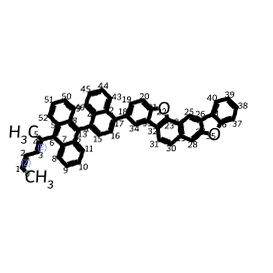 C/C=C\C=C(/C)c1c2ccccc2c(-c2ccc(-c3ccc4oc5c6cc7c(cc6ccc5c4c3)oc3ccccc37)c3ccccc23)c2ccccc12